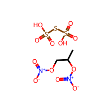 CC(CO[N+](=O)[O-])O[N+](=O)[O-].O=S(=O)(O)SS(=O)(=O)O